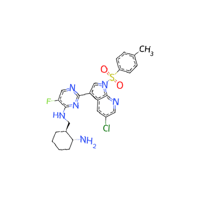 Cc1ccc(S(=O)(=O)n2cc(-c3ncc(F)c(NC[C@@H]4CCCC[C@H]4N)n3)c3cc(Cl)cnc32)cc1